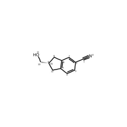 N#Cc1ccc2c(c1)C[C@@H](CO)C2